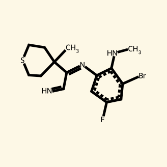 CNc1c(Br)cc(F)cc1/N=C(\C=N)C1(C)CCSCC1